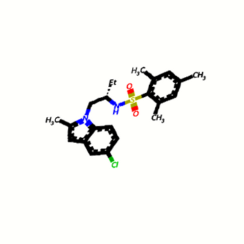 CC[C@@H](Cn1c(C)cc2cc(Cl)ccc21)NS(=O)(=O)c1c(C)cc(C)cc1C